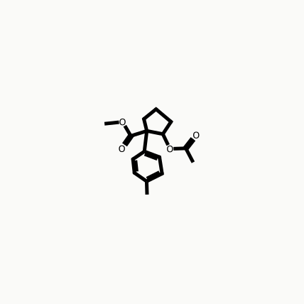 COC(=O)C1(c2ccc(C)cc2)CCCC1OC(C)=O